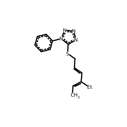 CC=C(C=CCSc1nnnn1-c1ccccc1)CC